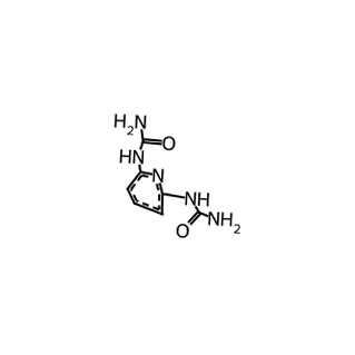 NC(=O)Nc1cccc(NC(N)=O)n1